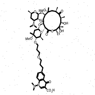 CC[C@H]1OC(=O)[C@H](C)[C@@H](O[C@H]2C[C@@](C)(OC)[C@@H](OCCCOCCCc3ccc4c(c3)c(=O)c(C(=O)O)cn4N(C)C)[C@H](C)O2)[C@H](C)[C@@H](O[C@@H]2O[C@H](C)C[C@H](N(C)C)[C@H]2O)[C@](C)(OC)C[C@@H](C)C(=O)[C@@H](C)[C@@H](O)[C@]1(C)O